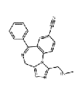 CNCc1nnc2n1-c1ccc(C#N)cc1C(c1ccccc1)=NC2